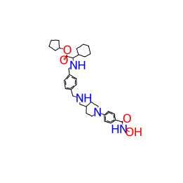 O=C(NO)c1ccc(N2CCC(CNCc3ccc(CNC(C(=O)OC4CCCC4)C4CCCCC4)cc3)CC2)cc1